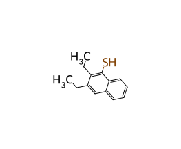 CCc1cc2ccccc2c(S)c1CC